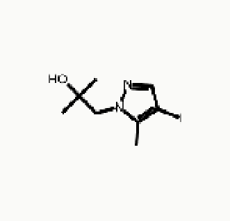 Cc1c(I)cnn1CC(C)(C)O